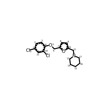 Clc1ccc(OCc2ccc(CN3CCCCC3)o2)c(Cl)c1